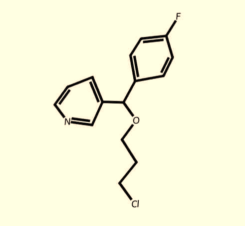 Fc1ccc(C(OCCCCl)c2cccnc2)cc1